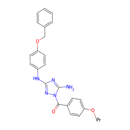 CC(C)Oc1ccc(C(=O)n2nc(Nc3ccc(OCc4ccccc4)cc3)nc2N)cc1